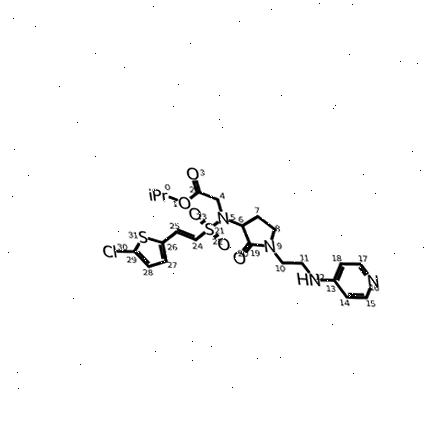 CC(C)OC(=O)CN(C1CCN(CCNc2ccncc2)C1=O)S(=O)(=O)C=Cc1ccc(Cl)s1